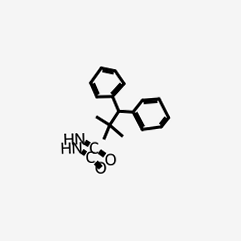 CC(C)(C)C(c1ccccc1)c1ccccc1.N=C=O.N=C=O